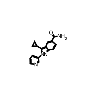 NC(=O)c1ccc2nn(-c3cccnc3)c(C3CC3)c2c1